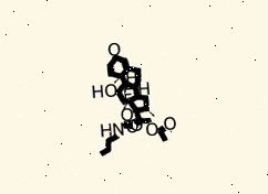 CCCCNC(=O)O[C@]1(C(=O)COC(C)=O)[C@@H](C)C[C@H]2[C@@H]3CCC4=CC(=O)C=C[C@]4(C)[C@@]3(F)[C@@H](O)C[C@@]21C